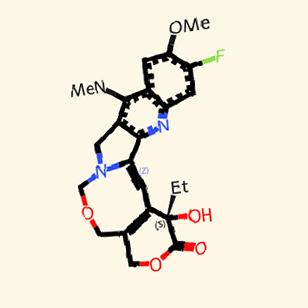 CC[C@@]1(O)C(=O)OCC2=C1/C=C1/c3nc4cc(F)c(OC)cc4c(NC)c3CN1COC2